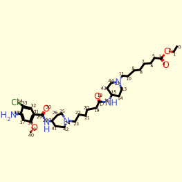 CCOC(=O)CCCCCCCN1CCC(NC(=O)CCCCCN2CCC(NC(=O)c3cc(Cl)c(N)cc3OC)CC2)CC1